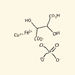 O=C([O-])C(O)C(O)C(=O)O.O=P([O-])([O-])[O-].[Cu+2].[Fe+2]